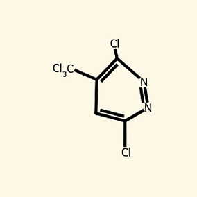 Clc1cc(C(Cl)(Cl)Cl)c(Cl)nn1